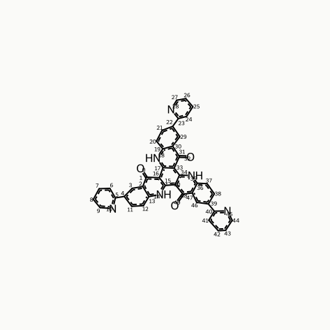 O=c1c2cc(-c3ccccn3)ccc2[nH]c2c1c1[nH]c3ccc(-c4ccccn4)cc3c(=O)c1c1[nH]c3ccc(-c4ccccn4)cc3c(=O)c21